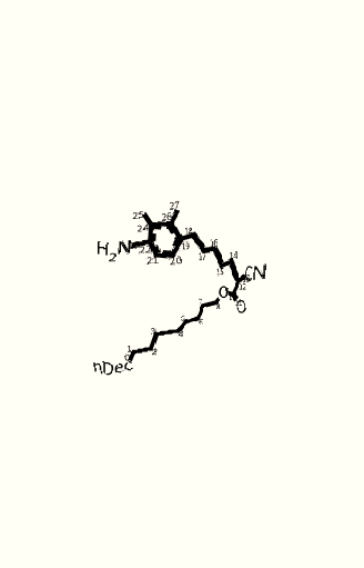 CCCCCCCCCCCCCCCCCCOC(=O)C(C#N)=CC=CC=Cc1ccc(N)c(C)c1C